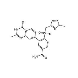 Cc1nc2cc(-c3cc(C(N)=O)ccc3S(=O)(=O)Cc3ccn(C)n3)ccc2c(=O)[nH]1